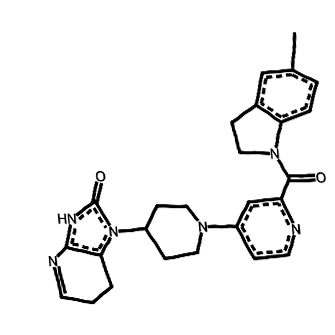 Cc1ccc2c(c1)CCN2C(=O)c1cc(N2CCC(n3c4c([nH]c3=O)N=CCC4)CC2)ccn1